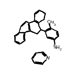 Cc1ccc(N)cc1C1Cc2c(ccc3ccccc23)C2=C1CCC=C2.c1ccncc1